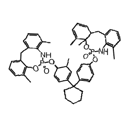 CC1=CC=CC2Cc3cccc(C)c3NP(=O)(Oc3ccc(C4(C5=CC(C)C(OP6(=O)Nc7c(C)cccc7Cc7cccc(C)c7O6)C=C5)CCCCC4)cc3)OC12C